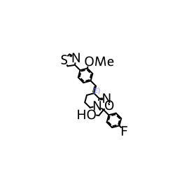 COc1cc(/C=C2\CCCN3C2=NOC3(CO)c2ccc(F)cc2)ccc1C1CSC=N1